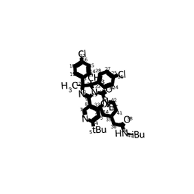 CCOc1cc(C(C)(C)C)ncc1C1=N[C@@](C)(c2ccc(Cl)cc2)[C@@](C)(c2ccc(Cl)cc2)N1C(=O)N1CCC(CC(=O)N[C@H](C)CC)CC1